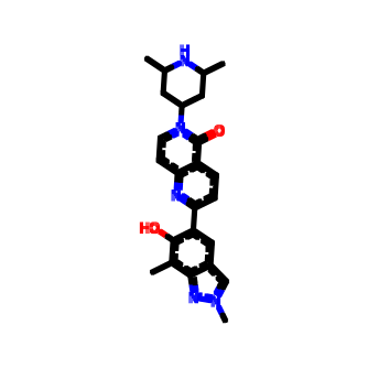 Cc1c(O)c(-c2ccc3c(=O)n(C4CC(C)NC(C)C4)ccc3n2)cc2cn(C)nc12